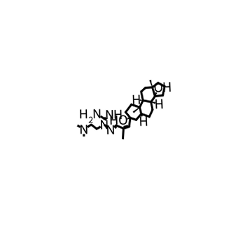 CC(C=NN(CCN(C)C)C(=N)N)=C[C@]1(O)CC[C@@]2(C)[C@H](CC[C@@H]3[C@@H]2CC[C@]2(C)CCC[C@]32O)C1